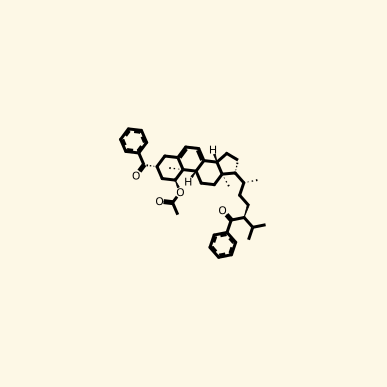 CC(=O)O[C@H]1C[C@H](C(=O)c2ccccc2)CC2=CC=C3[C@@H]4CC[C@H]([C@H](C)CC[C@H](C(=O)c5ccccc5)C(C)C)[C@@]4(C)CC[C@@H]3[C@]21C